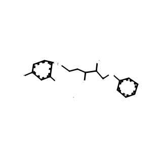 Cl.NC(CCNc1ccc(Cl)cc1Cl)C(O)COc1ccccc1